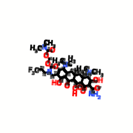 CN(C)C(=O)OCOC(=O)N(CCC(F)(F)F)Cc1cc(N(C)C)c2c(c1O)C(=O)C1=C(O)[C@]3(O)C(=O)C(C(N)=O)=C(O)[C@@H](N(C)C)[C@@H]3C[C@@H]1C2